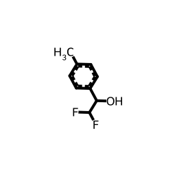 Cc1ccc(C(O)C(F)F)cc1